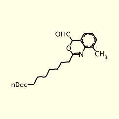 CCCCCCCCCCCCCCCCCC1=Nc2c(C)cccc2C(C=O)O1